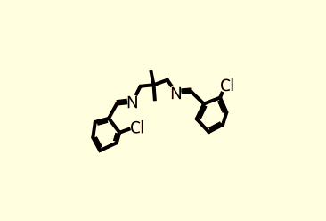 CC(C)(CN=Cc1ccccc1Cl)CN=Cc1ccccc1Cl